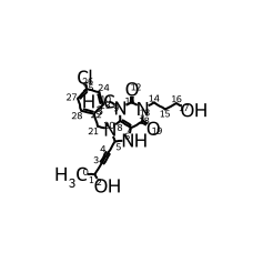 CC(O)C#CC1Nc2c(n(C)c(=O)n(CCCO)c2=O)N1Cc1ccc(Cl)cc1